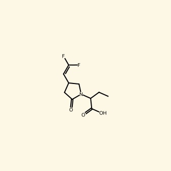 CCC(C(=O)O)N1CC(C=C(F)F)CC1=O